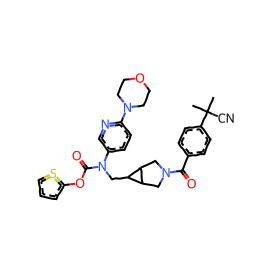 CC(C)(C#N)c1ccc(C(=O)N2CC3C(C2)C3CN(C(=O)Oc2cccs2)c2ccc(N3CCOCC3)nc2)cc1